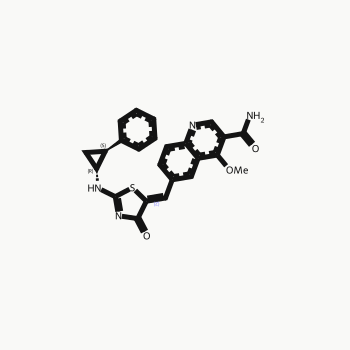 COc1c(C(N)=O)cnc2ccc(/C=C3\SC(N[C@@H]4C[C@H]4c4ccccc4)=NC3=O)cc12